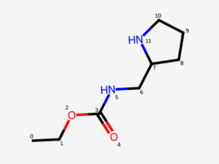 CCOC(=O)NCC1CCCN1